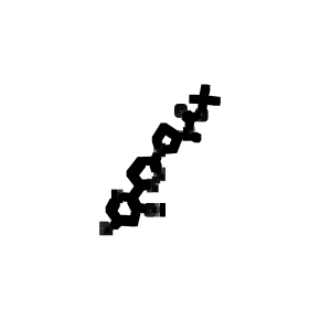 CN(C(=O)OC(C)(C)C)[C@@H]1CCN(c2ccc(-c3ncc(Br)cc3O)nn2)C1